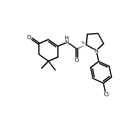 CC1(C)CC(=O)C=C(NC(=O)[C@@H]2CCCN2c2ccc(Cl)cc2)C1